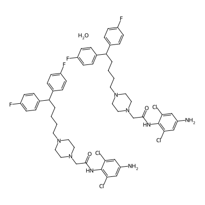 Nc1cc(Cl)c(NC(=O)CN2CCN(CCCCC(c3ccc(F)cc3)c3ccc(F)cc3)CC2)c(Cl)c1.Nc1cc(Cl)c(NC(=O)CN2CCN(CCCCC(c3ccc(F)cc3)c3ccc(F)cc3)CC2)c(Cl)c1.O